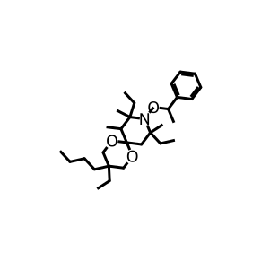 CCCCC1(CC)COC2(CC(C)(CC)N(OC(C)c3ccccc3)C(C)(CC)C2C)OC1